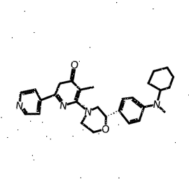 CC1=C(N2CCO[C@@H](c3ccc(N(C)C4CCCCC4)cc3)C2)N=C(c2ccncc2)CC1=O